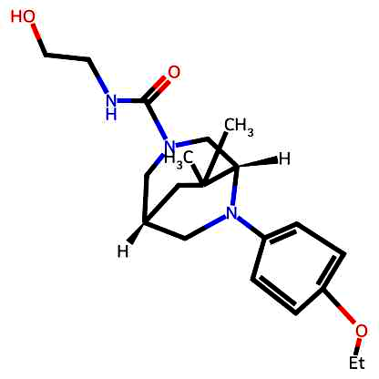 CCOc1ccc(N2C[C@@H]3CN(C(=O)NCCO)C[C@H]2C(C)(C)C3)cc1